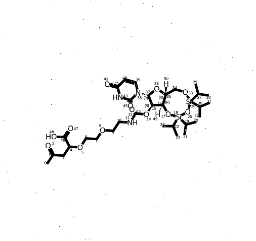 CC(=O)CC(OCCOCCNC(=O)O[C@@H]1[C@@H]2O[Si](C(C)C)(C(C)C)O[Si](C(C)C)(C(C)C)OC[C@H]2O[C@H]1n1ccc(=O)[nH]c1=O)C(=O)O